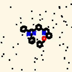 c1ccc(COc2cccc3ccc(-c4cccc(-c5cc(-c6ccccc6)nc(-c6ccccc6)n5)c4)nc23)cc1